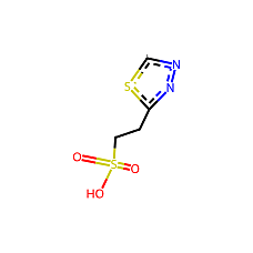 O=S(=O)(O)CCc1nn[c]s1